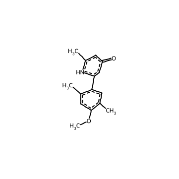 COc1cc(C)c(-c2cc(=O)cc(C)[nH]2)cc1C